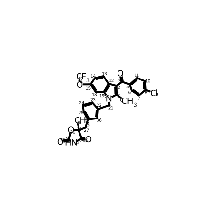 Cc1c(C(=O)c2ccc(Cl)cc2)c2ccc(OC(F)(F)F)cc2n1Cc1cccc(C[C@@]2(C)OC(=O)NC2=O)c1